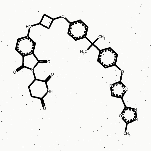 Cc1nnc(-c2cnc(Oc3ccc(C(C)(C)c4ccc(OC5CC(Nc6ccc7c(c6)C(=O)N(C6CCC(=O)NC6=O)C7=O)C5)cc4)cc3)o2)o1